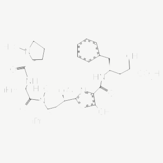 CC(=O)O[C@H](C[C@H](C(C)C)N(C)C(=O)[C@@H](NC(=O)[C@H]1CCCN1C)C(C)C)c1nc(C(=O)N[C@@H](Cc2ccccc2)C[C@H](C)C(=O)O)c(C)s1